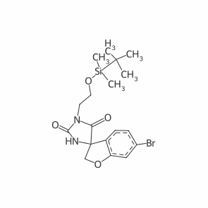 CC(C)(C)[Si](C)(C)OCCN1C(=O)NC2(COc3cc(Br)ccc32)C1=O